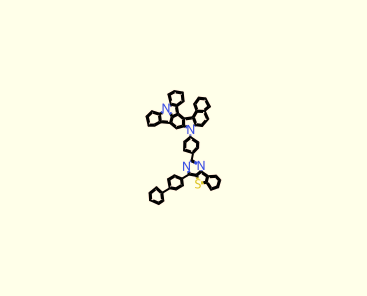 c1ccc(-c2ccc(-c3nc(-c4ccc(-n5c6ccc7ccccc7c6c6c7c8ccccc8n8c9ccccc9c(cc65)c78)cc4)nc4c3sc3ccccc34)cc2)cc1